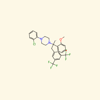 [CH2]C(Cc1cc(C(F)(F)F)cc(C(F)(F)F)c1)(c1ccccc1OC)N1CCN(c2ccccc2Cl)CC1